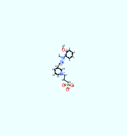 COc1ccccc1N(C)N=Cc1ccc[n+](CCCS(=O)(=O)[O-])c1